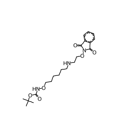 CC(C)(C)OC(=O)NOCCCCCCNCCON1C(=O)c2ccccc2C1=O